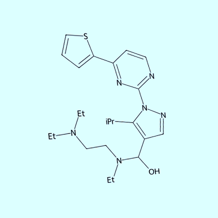 CCN(CC)CCN(CC)C(O)c1cnn(-c2nccc(-c3cccs3)n2)c1C(C)C